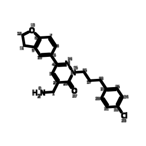 NCc1cc(-c2ccc3c(c2)CCO3)nn(CCCc2ccc(Cl)cc2)c1=O